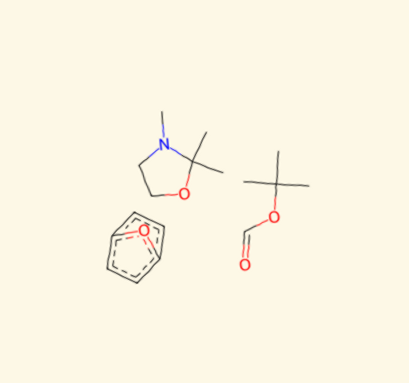 CC(C)(C)OC=O.CN1CCOC1(C)C.c1cc2ccc1o2